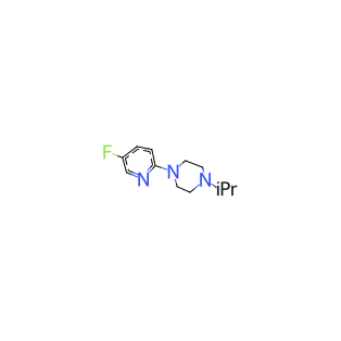 CC(C)N1CCN(c2ccc(F)cn2)CC1